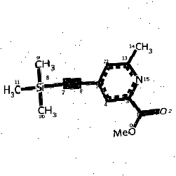 COC(=O)c1cc(C#C[Si](C)(C)C)cc(C)n1